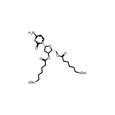 CCCCCCCCCCCCCCCC(=O)OC[C@H]1O[C@@H](n2ccc(N)nc2=O)CC1OC(=O)CCCCCCCCCCCCCCC